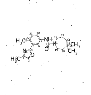 Cc1coc(-c2cc(NC(=O)N3CCCC(C)(C)CC3)ccc2C)n1